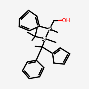 CC(C)(C)[Si](C)(C(C)(C1=CC=CC1)c1ccccc1)[Si](C)(CO)c1ccccc1